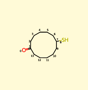 O=C1CCCCCC(S)CCCCC1